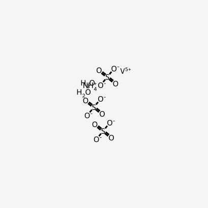 O.O.O=S(=O)([O-])[O-].O=S(=O)([O-])[O-].O=S(=O)([O-])[O-].[NH4+].[V+5]